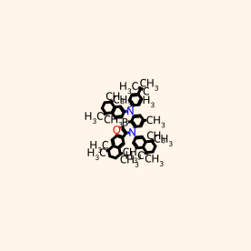 Cc1cc2c3c(c1)N(c1ccc(C(C)(C)C)cc1)c1cc4c(cc1B3c1oc3cc5c(cc3c1N2C1=CC2C(C=C1)C(C)(C)CCC2(C)C)C(C)(C)CCC5(C)C)C(C)(C)CCC4(C)C